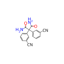 N#Cc1cccc(C(C(N)=O)(C(N)=O)c2cccc(C#N)c2)c1